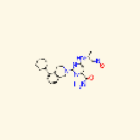 C[C@@H](CN=O)Nc1cc(C(N)=O)nc(N2CCc3c(cccc3C3CCCCC3)C2)n1